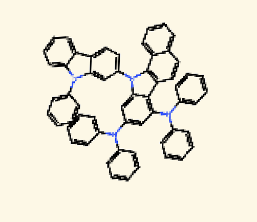 c1ccc(N(c2ccccc2)c2cc(N(c3ccccc3)c3ccccc3)c3c4ccc5ccccc5c4n(-c4ccc5c6ccccc6n(-c6ccccc6)c5c4)c3c2)cc1